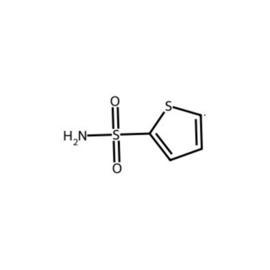 NS(=O)(=O)c1cc[c]s1